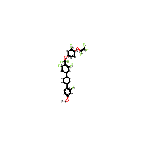 CCOc1ccc(C2CCC(c3cc(F)c(C(F)(F)Oc4ccc(OC(F)=C(F)F)c(F)c4)c(F)c3)CC2)c(F)c1